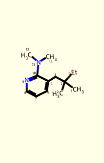 CCC(C)(C)Cc1cccnc1N(C)C